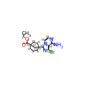 CCOC(=O)C12CCCC(c3nc(Br)c4c(N)nccn34)(CC1)CC2